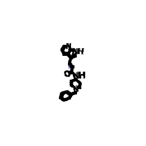 O=C(/C=C/c1c[nH]c2ncccc12)NC1CCN(Cc2ccccc2)CC1